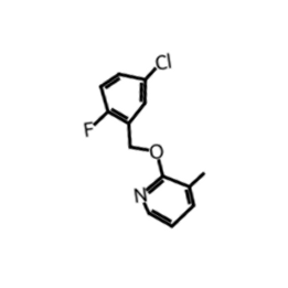 Cc1cccnc1OCc1cc(Cl)ccc1F